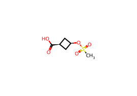 CS(=O)(=O)O[C@H]1C[C@@H](C(=O)O)C1